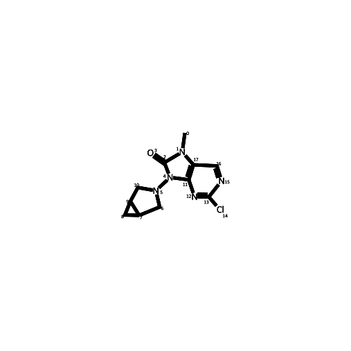 Cn1c(=O)n(N2CC3CC3C2)c2nc(Cl)ncc21